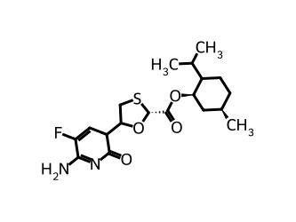 CC(C)C1CC[C@@H](C)C[C@H]1OC(=O)[C@@H]1OC(C2C=C(F)C(N)=NC2=O)CS1